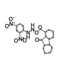 O=C(ONNc1ccc([N+](=O)[O-])cc1[N+](=O)[O-])c1cccc2c1C(=O)c1ccccc1-2